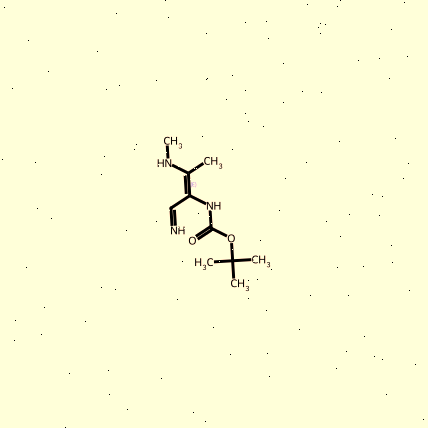 CN/C(C)=C(\C=N)NC(=O)OC(C)(C)C